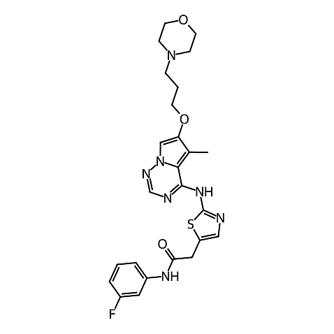 Cc1c(OCCCN2CCOCC2)cn2ncnc(Nc3ncc(CC(=O)Nc4cccc(F)c4)s3)c12